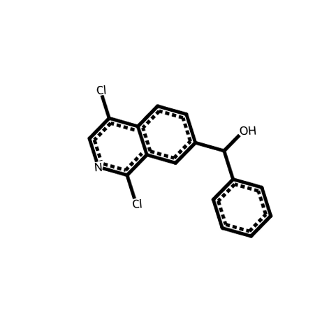 OC(c1ccccc1)c1ccc2c(Cl)cnc(Cl)c2c1